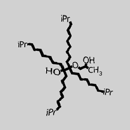 CC(C)CCCCCCCCC(CCCCCCCC(C)C)(OCC(C)O)C(O)(CCCCCCCC(C)C)CCCCCCCC(C)C